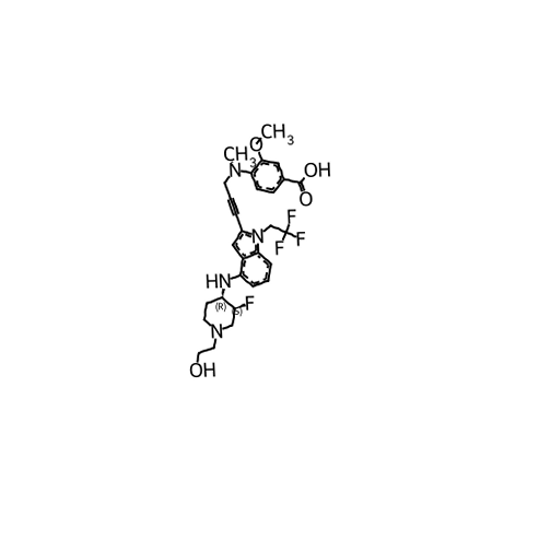 COc1cc(C(=O)O)ccc1N(C)CC#Cc1cc2c(N[C@@H]3CCN(CCO)C[C@@H]3F)cccc2n1CC(F)(F)F